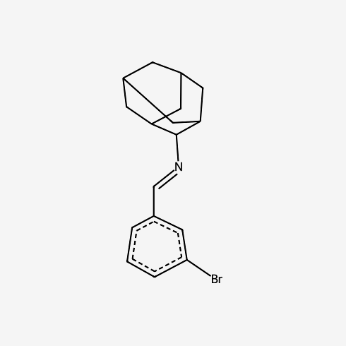 Brc1cccc(C=NC2C3CC4CC(C3)CC2C4)c1